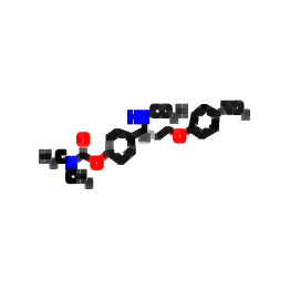 CN(C)C(=O)Oc1ccc([C@@H](CCOc2ccc([N+](=O)[O-])cc2)NC(=O)O)cc1